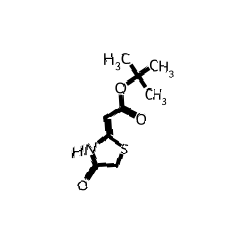 CC(C)(C)OC(=O)C=C1NC(=O)CS1